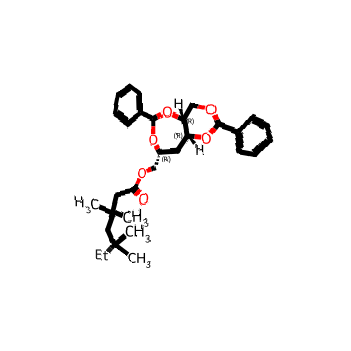 CCC(C)(C)CC(C)(C)CC(=O)OC[C@H]1C[C@H]2OC(c3ccccc3)OC[C@H]2OC(c2ccccc2)O1